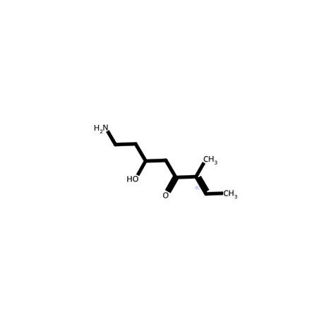 C/C=C(\C)C(=O)CC(O)CCN